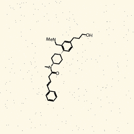 CNCc1cc(CCCO)ccc1[C@H]1CC[C@H](N(C)C(=O)CC=Cc2ccccc2)CC1